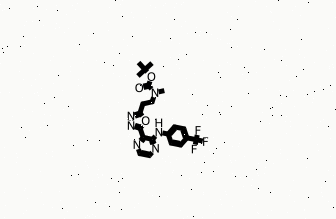 CN(CCc1nnc(-c2nccnc2Nc2ccc(C(F)(F)F)cc2)o1)C(=O)OC(C)(C)C